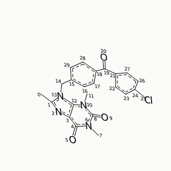 Cc1nc2c(=O)n(C)c(=O)n(C)c2n1Cc1ccc(C(=O)c2ccc(Cl)cc2)cc1